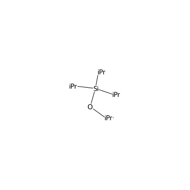 C[C](C)O[Si](C(C)C)(C(C)C)C(C)C